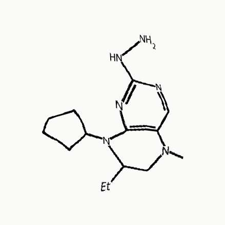 CCC1CN(C)c2cnc(NN)nc2N1C1CCCC1